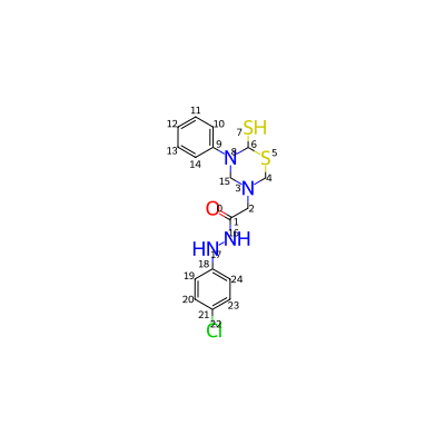 O=C(CN1CSC(S)N(c2ccccc2)C1)NNc1ccc(Cl)cc1